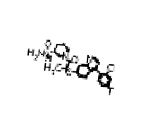 CC(Oc1ccc2c(-c3ccc(F)cc3Cl)ccnc2c1)C(=O)N1CCC[C@@H](S(N)(=O)=O)C1